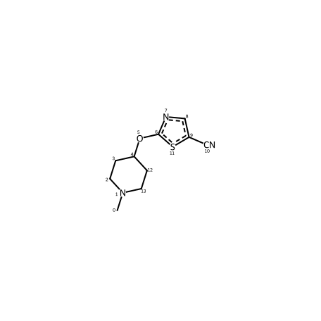 CN1CCC(Oc2ncc(C#N)s2)CC1